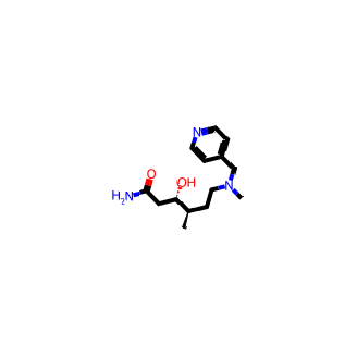 C[C@H](CCN(C)Cc1ccncc1)[C@@H](O)CC(N)=O